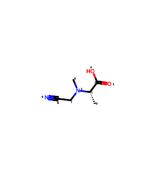 C[C@@H](C(=O)O)N(C)CC#N